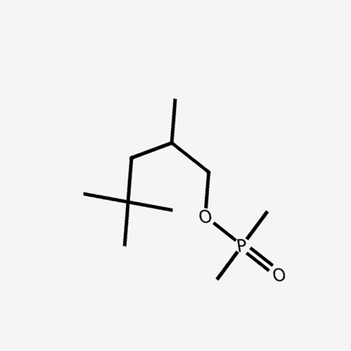 CC(COP(C)(C)=O)CC(C)(C)C